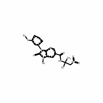 CCOc1cccc(-n2c(=O)n(C(C)C)c3cc(C(=O)NC(C)(CC)C[SH](=O)=O)cnc32)c1